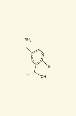 C[C@@H](O)c1cc(CN)ccc1Br